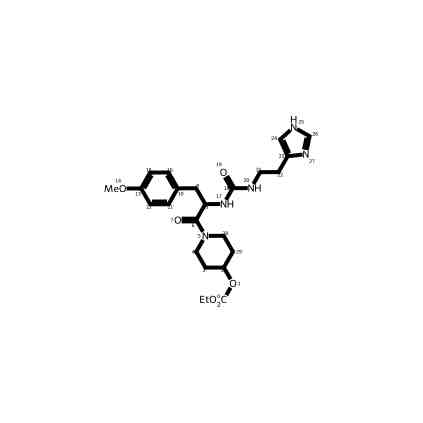 CCOC(=O)OC1CCN(C(=O)C(Cc2ccc(OC)cc2)NC(=O)NCCc2c[nH]cn2)CC1